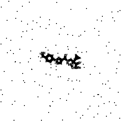 CNC(=O)C(CNC(=O)c1cnn(-c2ccc(C=N)cc2)n1)(NC=O)C1CC1